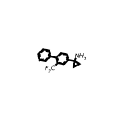 NC1(c2ccc(-c3ccccc3)c(C(F)(F)F)c2)CC1